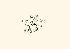 NCCN.O=P([O-])([O-])OP(=O)([O-])[O-].[Zn+2].[Zn+2]